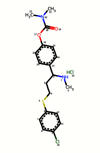 CNC(CCSc1ccc(Cl)cc1)c1ccc(OC(=O)N(C)C)cc1.Cl